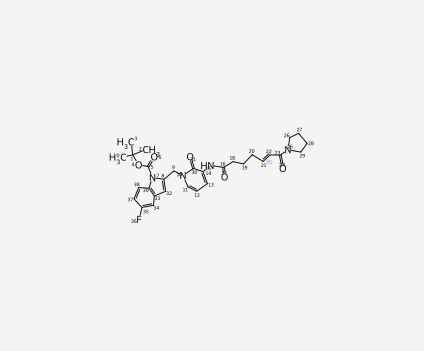 CC(C)(C)OC(=O)n1c(Cn2cccc(NC(=O)CCC/C=C/C(=O)N3CCCC3)c2=O)cc2cc(F)ccc21